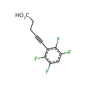 O=C(O)CCC#Cc1c(F)c(F)cc(F)c1F